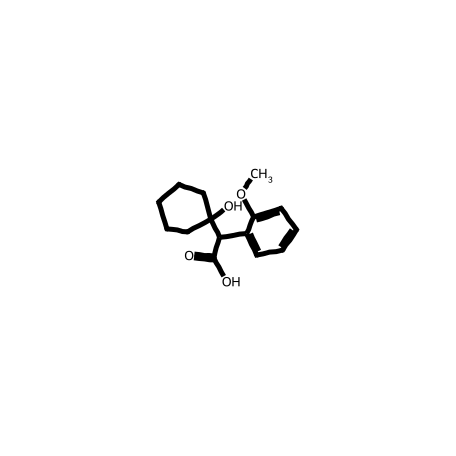 COc1ccccc1C(C(=O)O)C1(O)CCCCC1